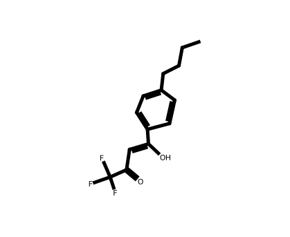 CCCCc1ccc(C(O)=CC(=O)C(F)(F)F)cc1